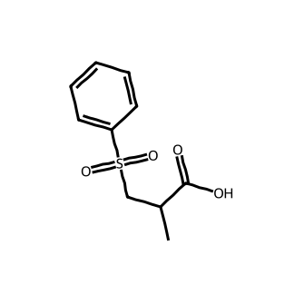 CC(CS(=O)(=O)c1ccccc1)C(=O)O